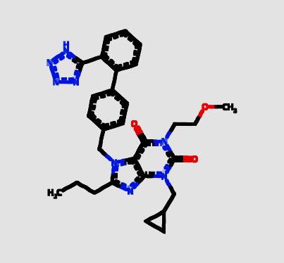 CCCc1nc2c(c(=O)n(CCOC)c(=O)n2CC2CC2)n1Cc1ccc(-c2ccccc2-c2nnn[nH]2)cc1